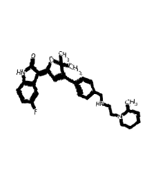 CC1CCCCN1CCNCc1ccc(C2=CC(=C3C(=O)Nc4ccc(F)cc43)OC2(C)C)cc1